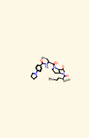 CC(=O)NC(CCC(C)C)C(=O)N1CC(=O)C2C1CCN2C(=O)C(CC(C)C)NC(=O)c1ccc(N2CCCC2)cc1